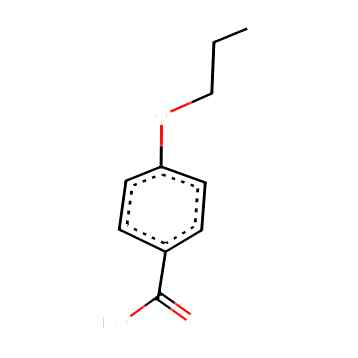 [CH2]CCOc1ccc(C(=O)O)cc1